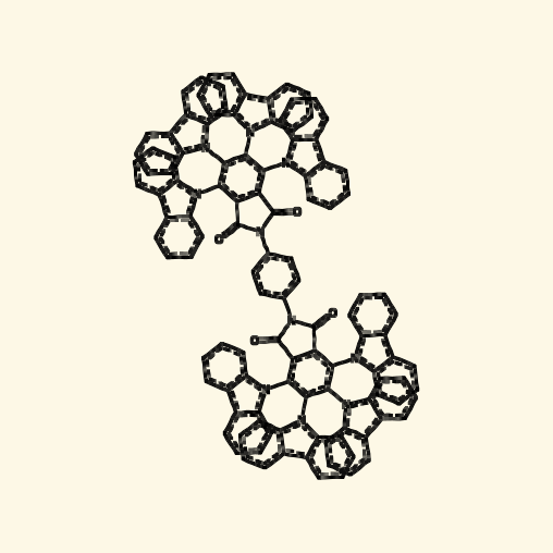 O=C1c2c(c(-n3c4ccccc4c4ccccc43)c(-n3c4ccccc4c4ccccc43)c(-n3c4ccccc4c4ccccc43)c2-n2c3ccccc3c3ccccc32)C(=O)N1c1ccc(N2C(=O)c3c(c(-n4c5ccccc5c5ccccc54)c(-n4c5ccccc5c5ccccc54)c(-n4c5ccccc5c5ccccc54)c3-n3c4ccccc4c4ccccc43)C2=O)cc1